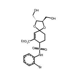 CCOC(=O)C1=CC2(CCC1S(=O)(=O)Nc1ccccc1Br)O[C@H](CO)[C@@H](CO)O2